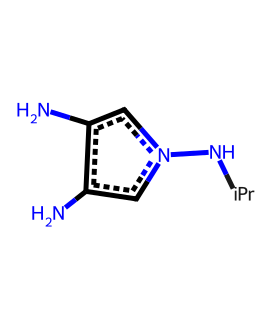 CC(C)Nn1cc(N)c(N)c1